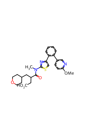 COc1ccc(-c2ccccc2-c2csc(N(C)C(=O)C(CC(=O)O)CC3CCOCC3)n2)cn1